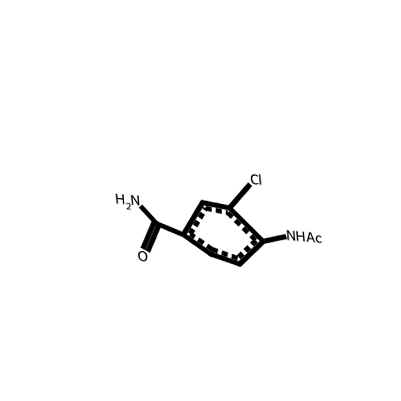 CC(=O)Nc1ccc(C(N)=O)cc1Cl